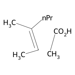 CC(=O)O.CC=C(C)CCC